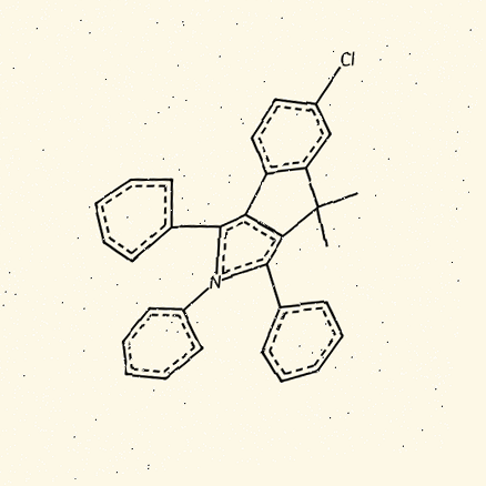 CC1(C)c2cc(Cl)ccc2-c2c1c(-c1ccccc1)n(-c1ccccc1)c2-c1ccccc1